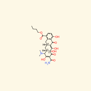 CCCCOC(=O)c1ccc(O)c2c1C[C@H]1C[C@H]3C(N(C)C)C(O)=C(C(N)=O)C(=O)[C@@]3(O)C(O)=C1C2=O